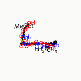 CCC(CO)OC(COC(=O)CCCC(=O)NCCSC1CC(=O)N(CCC(=O)NCCOCCC(=O)NCCOCCOCC(=O)C[C@@H](Cc2c[nH]c3ccccc23)C(=O)N[C@H](C)[C@@H](C)O)C1=O)OC